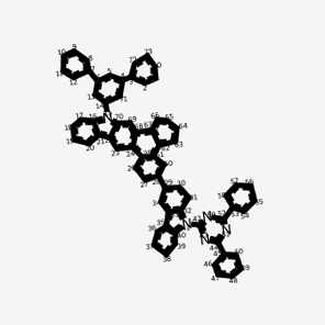 c1ccc(-c2cc(-c3ccccc3)cc(-n3c4ccccc4c4cc5c6ccc(-c7ccc8c(c7)c7ccccc7n8-c7nc(-c8ccccc8)nc(-c8ccccc8)n7)cc6c6ccccc6c5cc43)c2)cc1